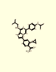 CC(C)CNc1nc(-c2ccc(OC(C)C)cc2)cn2c(-c3ccc(C(N)=O)c(C4CC4)c3)cnc12